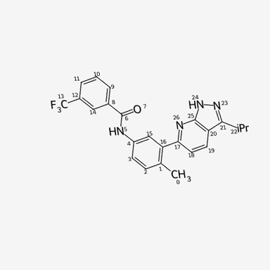 Cc1ccc(NC(=O)c2cccc(C(F)(F)F)c2)cc1-c1ccc2c(C(C)C)n[nH]c2n1